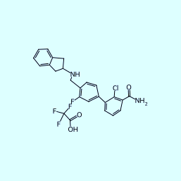 NC(=O)c1cccc(-c2ccc(CNC3Cc4ccccc4C3)c(F)c2)c1Cl.O=C(O)C(F)(F)F